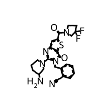 N#Cc1ccccc1Cn1c(N2CCCC(N)C2)nc2cc(C(=O)N3CCC(F)(F)C3)sc2c1=O